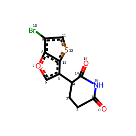 O=C1CCC(c2coc3c(Br)csc23)C(=O)N1